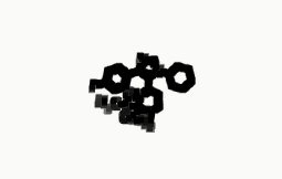 CS(=O)(=O)C1(N)N=C(c2c(-c3ccc(F)cc3)ncn2C2CCCCC2)C=CN1